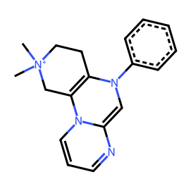 C[N+]1(C)CCC2=C(C1)N1C=CC=NC1=CN2c1ccccc1